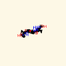 Cc1c(NC(=O)c2cc(C3CC3)c(CN[C@H](C)CO)cn2)cccc1-c1cccc(NC(=O)c2cc(C3CC3)c(CN3CCCC[C@H]3C(=O)O)cn2)c1C